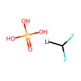 O=P(O)(O)O.[Li][CH](F)F